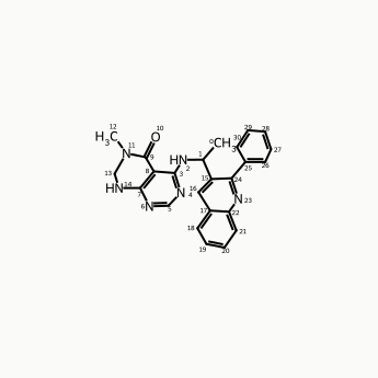 CC(Nc1ncnc2c1C(=O)N(C)CN2)c1cc2ccccc2nc1-c1ccccc1